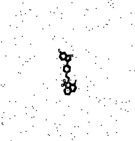 O=S1(=O)N(CCN2CC=C(c3c[nH]c4cc(F)ccc34)CC2)c2c(F)ccc3c2N1CCC3